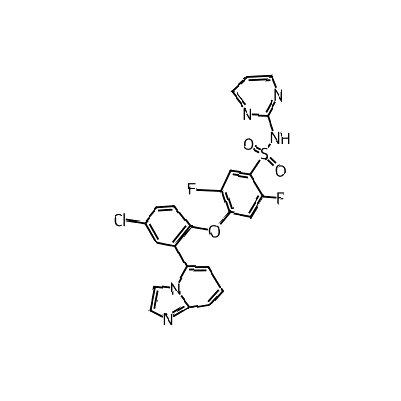 O=S(=O)(Nc1ncccn1)c1cc(F)c(Oc2ccc(Cl)cc2-c2cccc3nccn23)cc1F